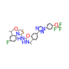 CC(C)c1cc(F)ccc1N1C(=O)CSC1NC(=O)NC(C)c1ccc(-c2ncn(-c3ccc(OC(F)(F)F)cc3)n2)cc1